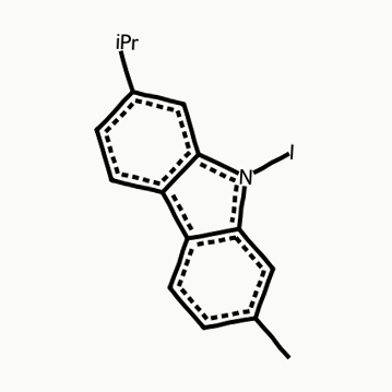 Cc1ccc2c3ccc(C(C)C)cc3n(I)c2c1